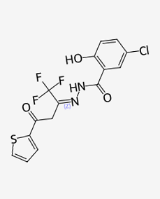 O=C(C/C(=N/NC(=O)c1cc(Cl)ccc1O)C(F)(F)F)c1cccs1